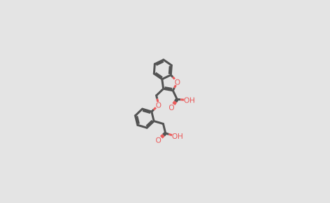 O=C(O)Cc1ccccc1OCc1c(C(=O)O)oc2ccccc12